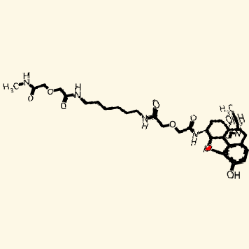 CNC(=O)COCC(=O)NCCCCCCNC(=O)COCC(=O)N[C@H]1CC[C@@]2(O)[C@H]3Cc4ccc(O)c5c4[C@@]2(CCN3C)[C@H]1O5